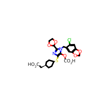 O=C(O)C[C@H]1CC[C@H](Sc2nc(C3OCCO3)n(Cc3cc4c(cc3Cl)OCO4)c2OC(=O)O)CC1